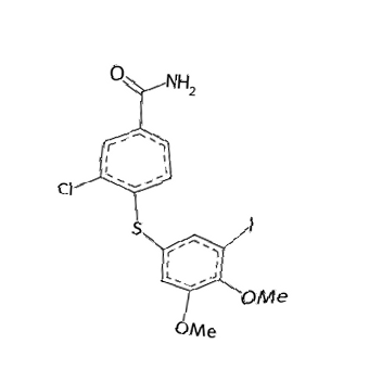 COc1cc(Sc2ccc(C(N)=O)cc2Cl)cc(I)c1OC